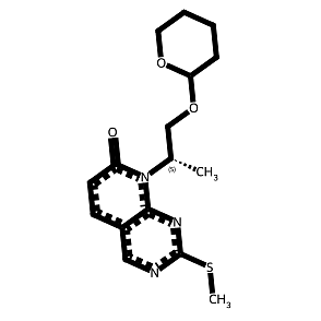 CSc1ncc2ccc(=O)n([C@@H](C)COC3CCCCO3)c2n1